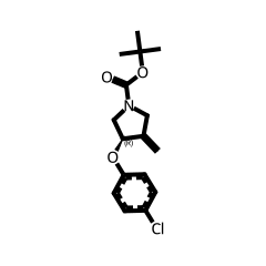 C=C1CN(C(=O)OC(C)(C)C)C[C@@H]1Oc1ccc(Cl)cc1